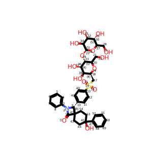 O=C1N(c2ccccc2)[C@H](c2ccc(S(=O)(=O)C[C@@H]3OC(CO)[C@@H](O[C@@H]4OC(CO)[C@@H](O)[C@H](O)C4O)[C@H](O)C3O)cc2)C12CCC(O)(c1ccccc1)CC2